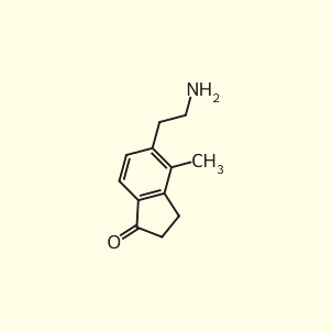 Cc1c(CCN)ccc2c1CCC2=O